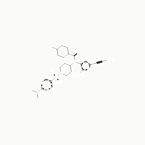 CC1CCC(C(=O)N(c2cc(C#CC(C)(C)C)sc2C(=O)O)C2CCN(S(=O)(=O)c3cnc(N(C)C)nc3)CC2)CC1